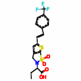 CCC(C(=O)O)N1Cc2cc(C=Cc3ccc(C(F)(F)F)cc3)sc2S1(=O)=O